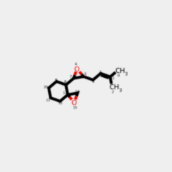 CC(C)=CCC1OC1C1CCCCC12CO2